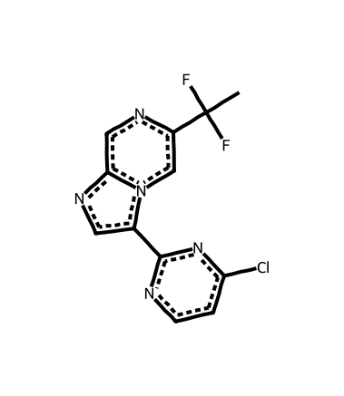 CC(F)(F)c1cn2c(-c3nccc(Cl)n3)cnc2cn1